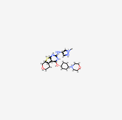 Cn1cc(Nc2nc(O[C@H]3CC[C@H](N4CCOCC4)CC3)c3c4c(sc3n2)COCC4)cn1